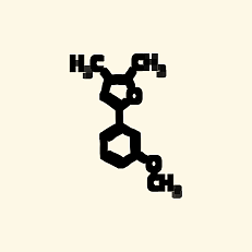 COc1cccc(-c2cc(C)c(C)o2)c1